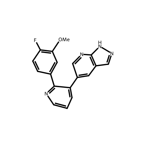 COc1cc(-c2ncccc2-c2cnc3[nH]ncc3c2)ccc1F